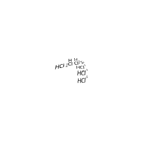 Cl.Cl.Cl.Cl.Cl.Cl.[S]